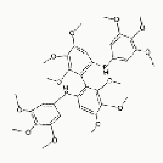 COc1cc(Pc2cc(OC)c(OC)c(OC)c2-c2c(Pc3cc(OC)c(OC)c(OC)c3)cc(OC)c(OC)c2OC)cc(OC)c1OC